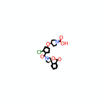 O=C1O[C@]2(CCN(C(=O)c3ccc(OC4CCN(C(=O)O)CC4)cc3Cl)C2)c2ccccc21